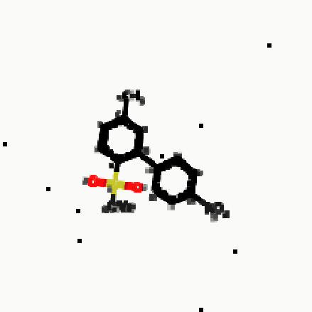 COS(=O)(=O)c1ccc(C)cc1-c1ccc([N+](=O)[O-])cc1